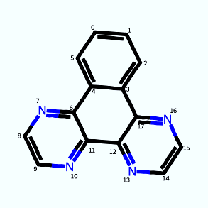 c1ccc2c(c1)c1nccnc1c1nccnc21